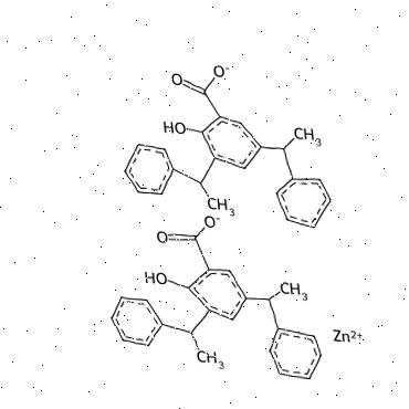 CC(c1ccccc1)c1cc(C(=O)[O-])c(O)c(C(C)c2ccccc2)c1.CC(c1ccccc1)c1cc(C(=O)[O-])c(O)c(C(C)c2ccccc2)c1.[Zn+2]